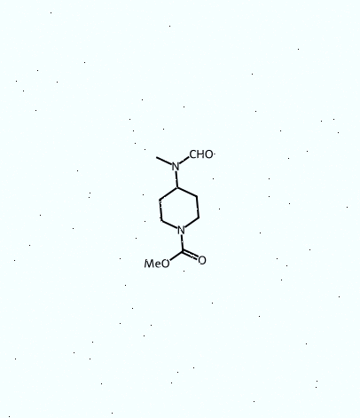 COC(=O)N1CCC(N(C)[C]=O)CC1